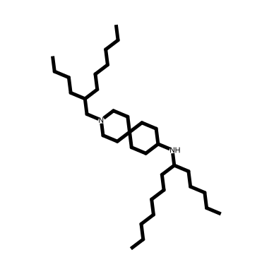 CCCCCCCC(CCCCC)NC1CCC2(CC1)CCN(CC(CCCC)CCCCCC)CC2